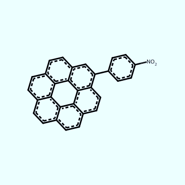 O=[N+]([O-])c1ccc(-c2cc3ccc4ccc5ccc6ccc7ccc2c2c7c6c5c4c32)cc1